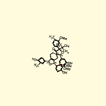 COc1cc(C2(C(C)(C)O)O[C@@H](c3ccc(OC)c(O)c3)[C@@]3(CCC4=C(C3)[C@@H](c3ccc(O)c(OC)c3)O[C@H]4c3ccc(O)c(C)c3)C2=O)ccc1C